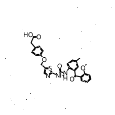 COc1ccccc1C(=O)c1cc(C)ccc1NC(=O)Nc1ncc(COc2ccc(CC(=O)O)cc2)s1